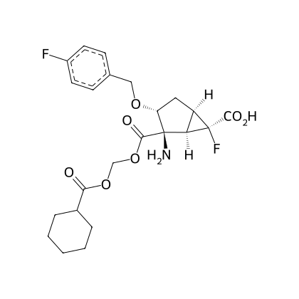 N[C@]1(C(=O)OCOC(=O)C2CCCCC2)[C@H]2[C@@H](C[C@H]1OCc1ccc(F)cc1)[C@]2(F)C(=O)O